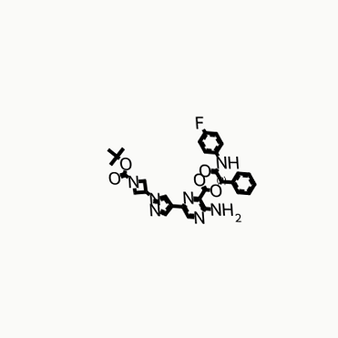 CC(C)(C)OC(=O)N1CC(n2cc(-c3cnc(N)c(C(=O)O[C@@H](C(=O)Nc4ccc(F)cc4)c4ccccc4)n3)cn2)C1